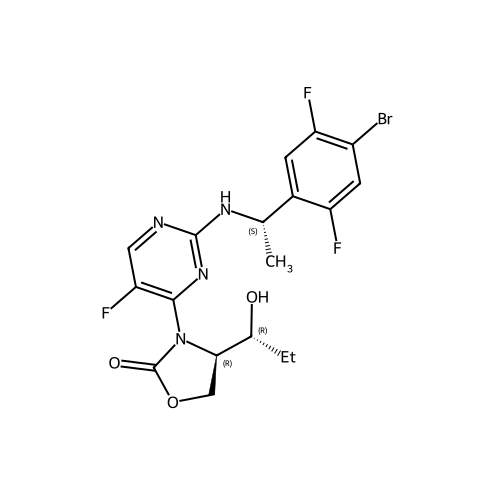 CC[C@@H](O)[C@H]1COC(=O)N1c1nc(N[C@@H](C)c2cc(F)c(Br)cc2F)ncc1F